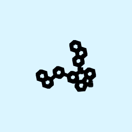 c1cc(-c2cccc(N(c3ccc4c(ccc5ccccc54)c3)c3cccc4sc5ccccc5c34)c2)cc(-c2cccc3ccccc23)c1